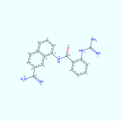 N=C(N)Nc1ccccc1C(=O)Nc1cccc2ccc(C(=N)N)cc12